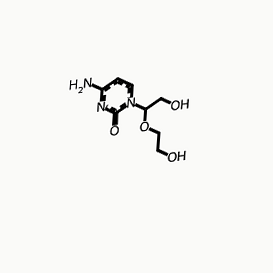 Nc1ccn(C(CO)OCCO)c(=O)n1